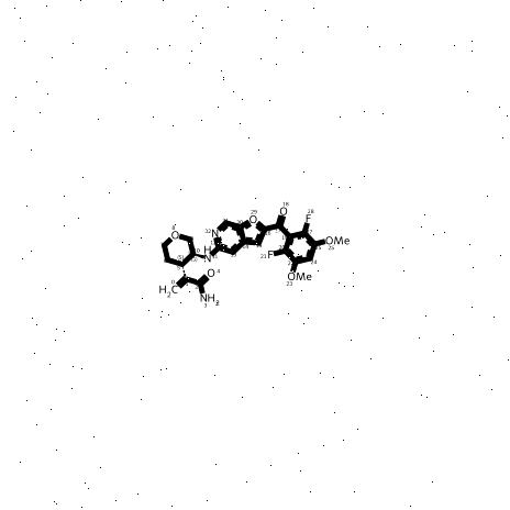 C=C(C(N)=O)[C@@H]1CCOC[C@H]1Nc1cc2cc(C(=O)c3c(F)c(OC)cc(OC)c3F)oc2cn1